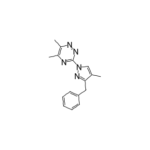 Cc1cn(-c2nnc(C)c(C)n2)nc1Cc1ccccc1